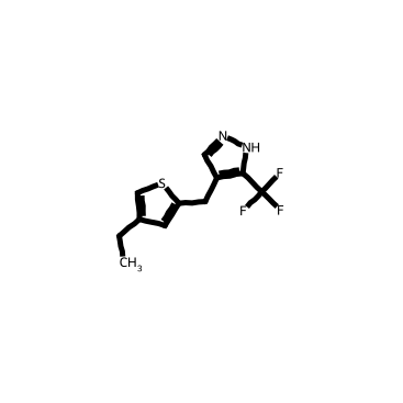 CCc1csc(Cc2cn[nH]c2C(F)(F)F)c1